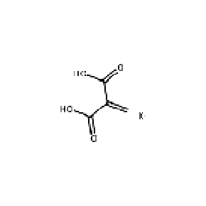 C=C(C(=O)O)C(=O)O.[K]